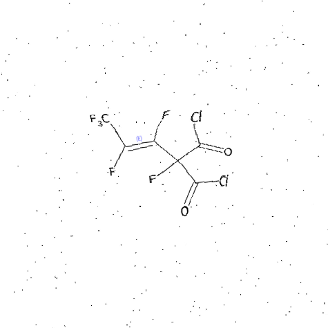 O=C(Cl)C(F)(C(=O)Cl)/C(F)=C(\F)C(F)(F)F